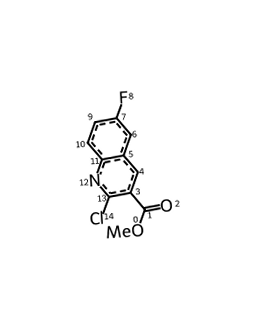 COC(=O)c1cc2cc(F)ccc2nc1Cl